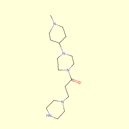 CN1CCC(N2CCN(C(=O)CCN3CCNCC3)CC2)CC1